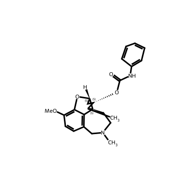 COc1ccc2c3c1O[C@H]1C[C@H](OC(=O)Nc4ccccc4)C(C)[C@@]31CCN(C)C2